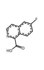 O=C(O)c1nccc2cc(F)ccc12